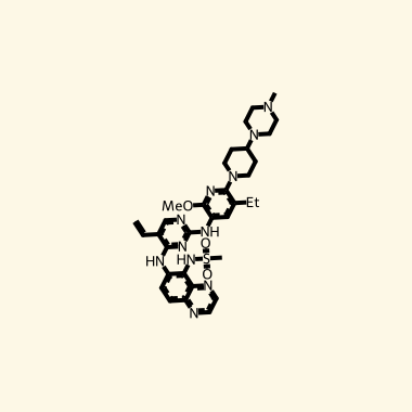 C=Cc1cnc(Nc2cc(CC)c(N3CCC(N4CCN(C)CC4)CC3)nc2OC)nc1Nc1ccc2nccnc2c1NS(C)(=O)=O